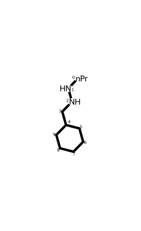 CCCNNCC1CCCCC1